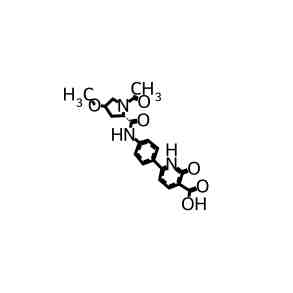 COC1C[C@@H](C(=O)Nc2ccc(-c3ccc(C(=O)O)c(=O)[nH]3)cc2)N(C(C)=O)C1